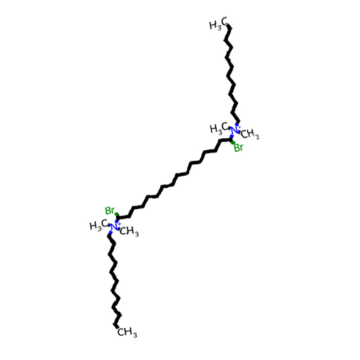 CCCCCCCCCCCC[N+](C)(C)C(Br)CCCCCCCCCCCCCCC(Br)[N+](C)(C)CCCCCCCCCCCC